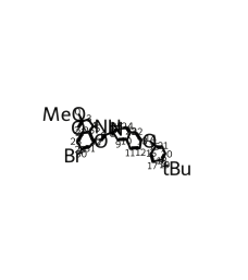 COC(=O)CC(NC(=O)c1cc2ccc(Oc3ccc(C(C)(C)C)cc3)cc2cn1)c1ccc(Br)cc1